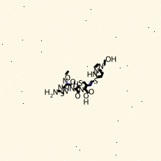 CCO/N=C(\C(=O)N[C@@H]1C(=O)N2C(C(=O)O)=C(/C=C/SC3=CC=C4N(CCO)C=CN4N3)CS[C@@H]12)c1nsc(N)n1